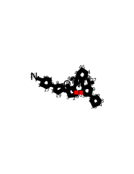 Cc1ccc2c(oc3cc(-c4ccc(C#N)cc4)ccc32)c1-c1n(-c2c(C(C)C)cc(-c3ccccc3)cc2C(C)C)c2ccccc2[n+]1C